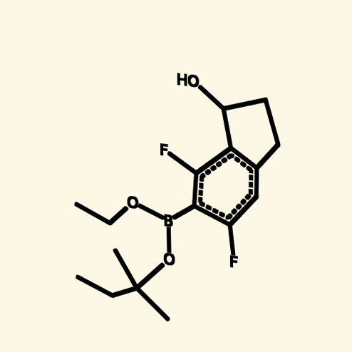 CCOB(OC(C)(C)CC)c1c(F)cc2c(c1F)C(O)CC2